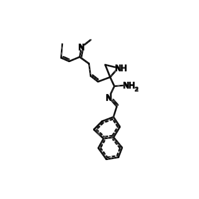 C/C=C\C(C/C=C\C1(C(N)/N=C/c2ccc3ccccc3c2)CN1)=N\C